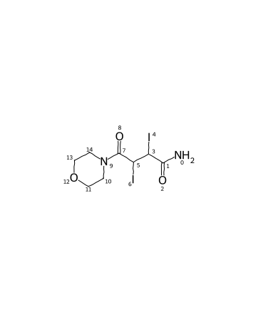 NC(=O)C(I)C(I)C(=O)N1CCOCC1